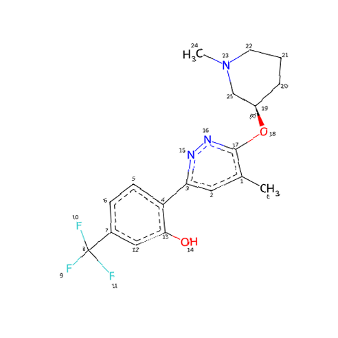 Cc1cc(-c2ccc(C(F)(F)F)cc2O)nnc1O[C@@H]1CCCN(C)C1